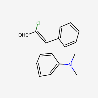 CN(C)c1ccccc1.O=CC(Cl)=Cc1ccccc1